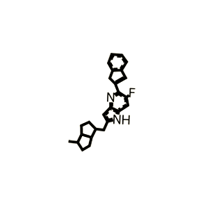 CC1CCC2C(Cc3cc4nc(C5=Cc6ccccc6C5)c(F)cc4[nH]3)CCC12